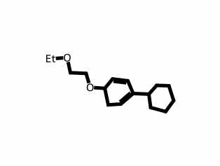 CCOCCOC1C=CC(C2CCCCC2)=CC1